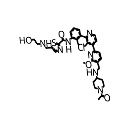 COc1nc(-c2ccnc(-c3cccc(NC(=O)c4ncc(CNCCO)s4)c3C)c2Cl)ccc1CNC1CCN(C(C)=O)CC1